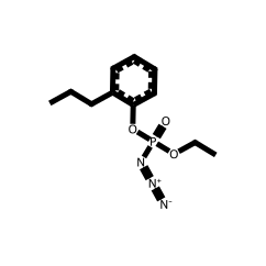 CCCc1ccccc1OP(=O)(N=[N+]=[N-])OCC